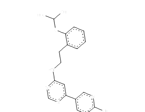 Cc1ccc(-c2cc(NCCc3ccccc3OC(C)C)ncn2)cn1